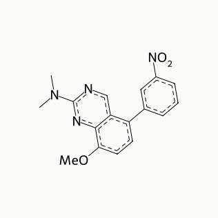 COc1ccc(-c2cccc([N+](=O)[O-])c2)c2cnc(N(C)C)nc12